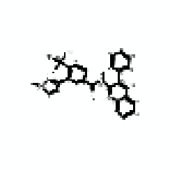 Cn1ccc(-c2cc(C(=O)Nc3nc4ccccc4nc3-c3ccccc3)ccc2C(F)(F)F)n1